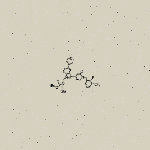 CC(C)(C)OP(=O)(OCn1cc(-c2ccn(Cc3cccc(C(F)(F)F)c3F)c(=O)c2)c2cc(N3CCOCC3)cnc21)OC(C)(C)C